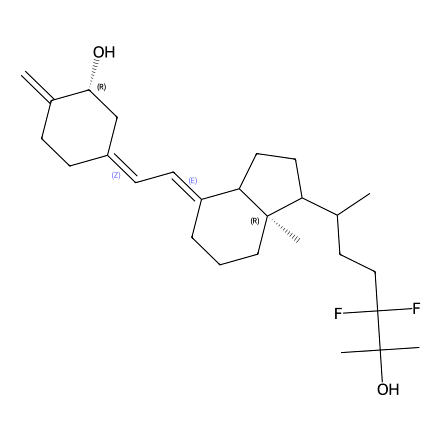 C=C1CC/C(=C/C=C2\CCC[C@@]3(C)C2CCC3C(C)CCC(F)(F)C(C)(C)O)C[C@H]1O